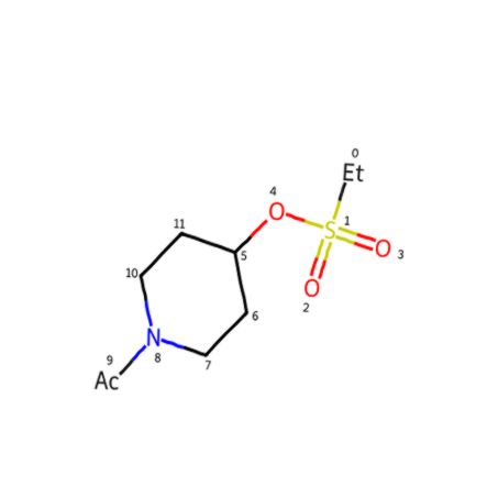 CCS(=O)(=O)OC1CCN(C(C)=O)CC1